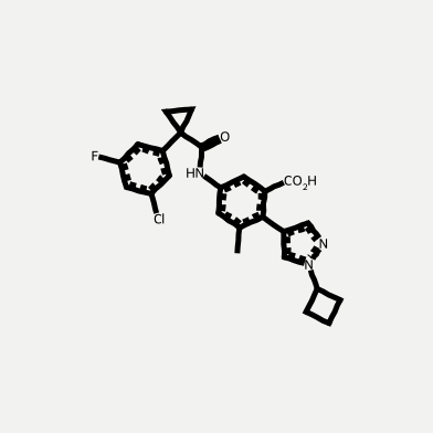 Cc1cc(NC(=O)C2(c3cc(F)cc(Cl)c3)CC2)cc(C(=O)O)c1-c1cnn(C2CCC2)c1